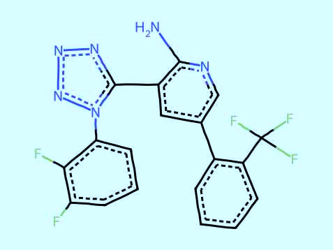 Nc1ncc(-c2ccccc2C(F)(F)F)cc1-c1nnnn1-c1cccc(F)c1F